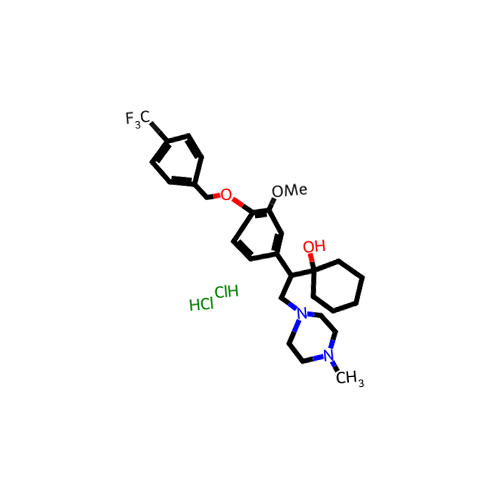 COc1cc(C(CN2CCN(C)CC2)C2(O)CCCCC2)ccc1OCc1ccc(C(F)(F)F)cc1.Cl.Cl